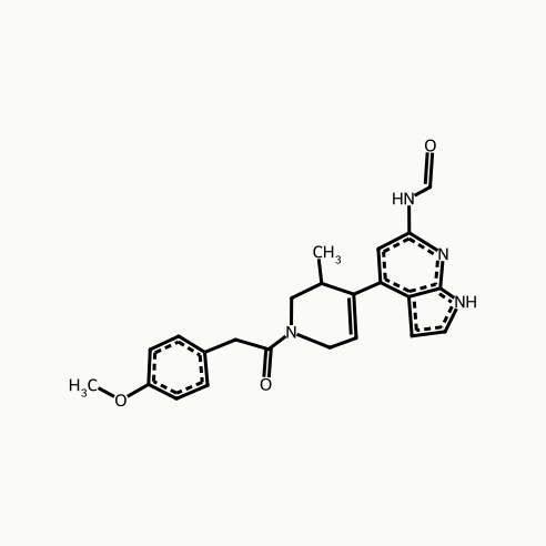 COc1ccc(CC(=O)N2CC=C(c3cc(NC=O)nc4[nH]ccc34)C(C)C2)cc1